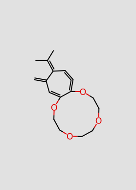 C=C1C=C2OCCOCCOCCOC2=C=CC1=C(C)C